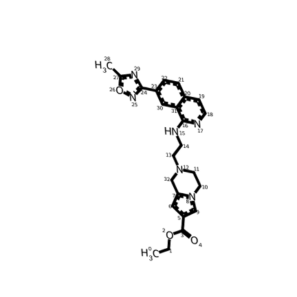 CCOC(=O)c1cc2n(c1)CCN(CCNc1nccc3ccc(-c4noc(C)n4)cc13)C2